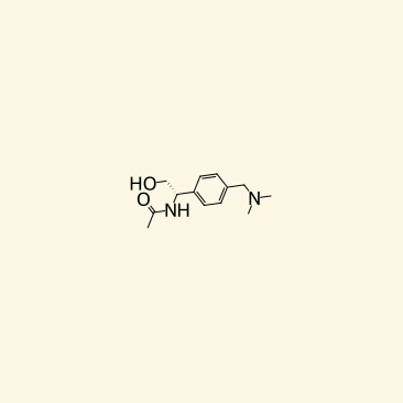 CC(=O)N[C@H](CO)c1ccc(CN(C)C)cc1